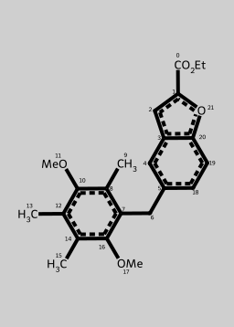 CCOC(=O)c1cc2cc(Cc3c(C)c(OC)c(C)c(C)c3OC)ccc2o1